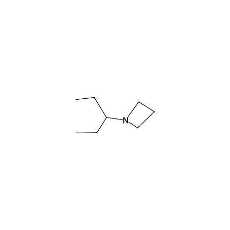 CCC(CC)N1CCC1